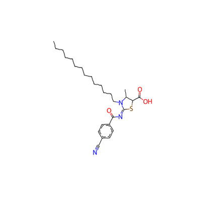 CCCCCCCCCCCCCCN1C(=NC(=O)c2ccc(C#N)cc2)SC(C(=O)O)C1C